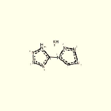 [KH].c1nnnn1-c1nnn[nH]1